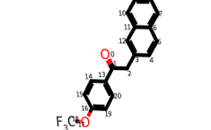 O=C(Cc1ccc2ccccc2c1)c1ccc(OC(F)(F)F)cc1